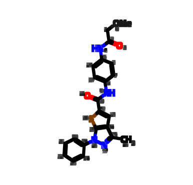 COCC(=O)Nc1ccc(NC(=O)c2cc3c(C)nn(-c4ccccc4)c3s2)cc1